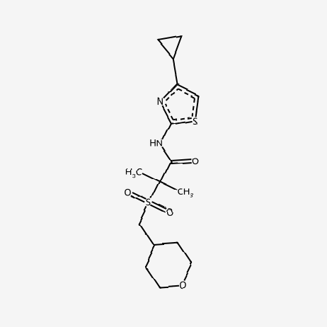 CC(C)(C(=O)Nc1nc(C2CC2)cs1)S(=O)(=O)CC1CCOCC1